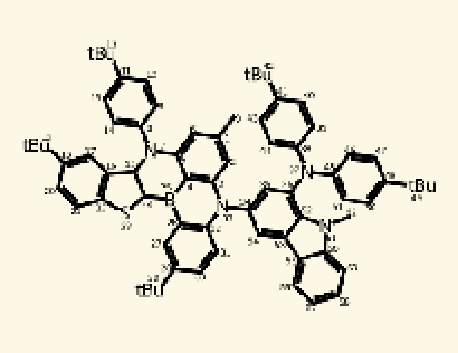 Cc1cc2c3c(c1)N(c1ccc(C(C)(C)C)cc1)C1c4cc(C(C)(C)C)ccc4SC1B3c1cc(C(C)(C)C)ccc1N2c1cc(N(c2ccc(C(C)(C)C)cc2)c2ccc(C(C)(C)C)cc2)c2c(c1)c1ccccc1n2C